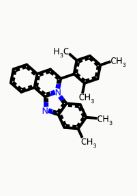 Cc1cc(C)c(-c2cc3ccccc3c3nc4cc(C)c(C)cc4n23)c(C)c1